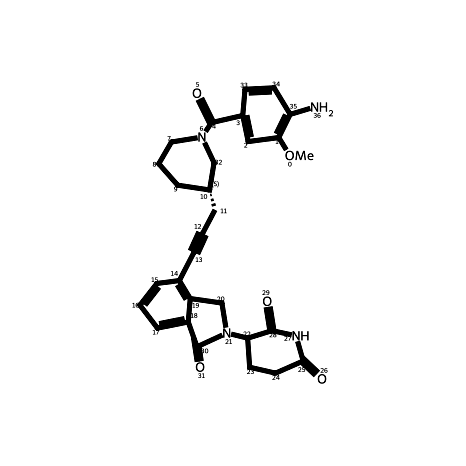 COc1cc(C(=O)N2CCC[C@@H](CC#Cc3cccc4c3CN(C3CCC(=O)NC3=O)C4=O)C2)ccc1N